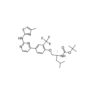 Cc1csc(Nc2nccc(-c3ccc(OC[C@](C)(CC(C)C)NC(=O)OC(C)(C)C)c(C(F)(F)F)c3)n2)n1